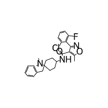 Cc1onc(-c2c(F)cccc2Cl)c1C(=O)NC1CCC(Cc2ccccc2)(N(C)C)CC1